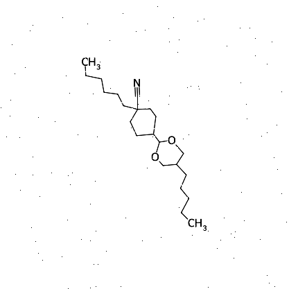 CCCCCCC1(C#N)CCC(C2OCC(CCCCC)CO2)CC1